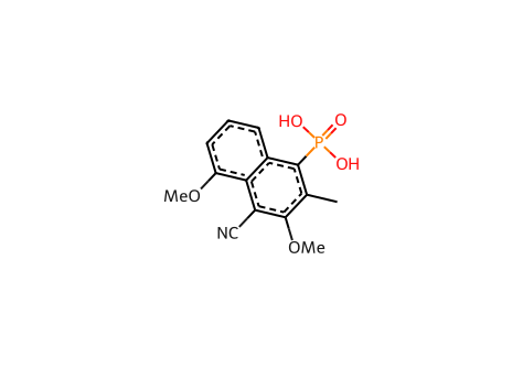 COc1c(C)c(P(=O)(O)O)c2cccc(OC)c2c1C#N